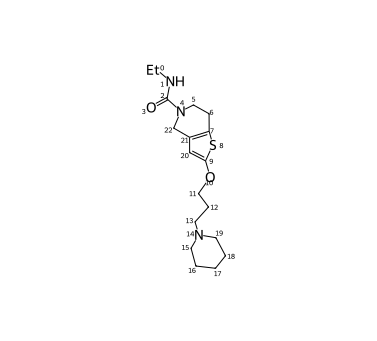 CCNC(=O)N1CCc2sc(OCCCN3CCCCC3)cc2C1